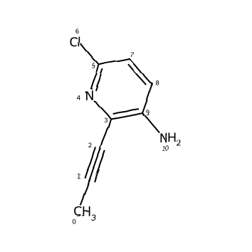 CC#Cc1nc(Cl)ccc1N